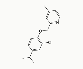 Cc1ccnc(COc2ccc(C(C)C)cc2Cl)c1